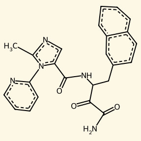 Cc1ncc(C(=O)NC(Cc2ccc3ccccc3c2)C(=O)C(N)=O)n1-c1ccccn1